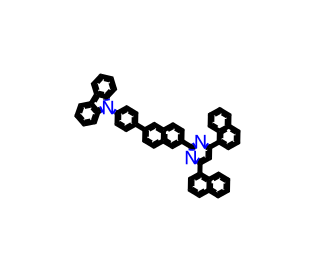 c1ccc2c(-c3cc(-c4cccc5ccccc45)nc(-c4ccc5cc(-c6ccc(-n7c8ccccc8c8ccccc87)cc6)ccc5c4)n3)cccc2c1